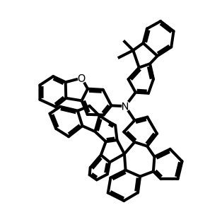 CC1(C)c2ccccc2-c2ccc(N(c3ccc4c(c3)C3(c5ccccc5-c5ccccc5-4)c4ccccc4-c4c3ccc3c4-c4ccccc4C3)c3ccc4c(c3)oc3ccccc34)cc21